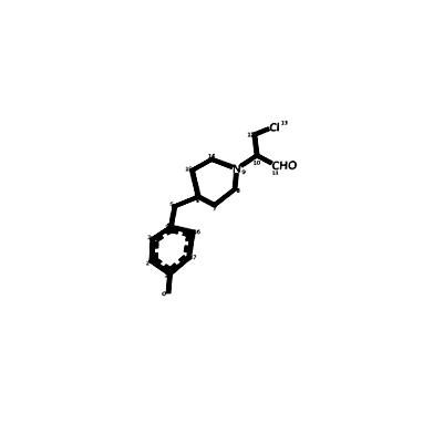 Cc1ccc(CC2CCN(C(C=O)CCl)CC2)cc1